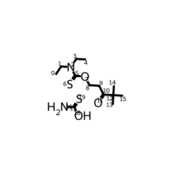 CCN(CC)C(=S)OCCC(=O)C(C)(C)C.NC(O)=S